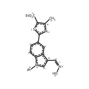 CCOC(=O)c1sc(-c2ccc3c(c2)c(/C=N\O)cn3C(C)C)nc1C